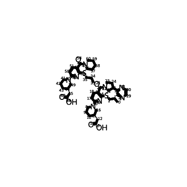 CCCSc1nc(N2CCC[C@@H](CC(=O)O)C2)ccc1C(=O)N1CCC(c2cnccn2)C1.CCCSc1nc(N2CCC[C@@H](CC(=O)O)C2)ccc1C(=O)N1CCCCC1